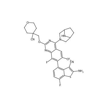 N#Cc1c(N)sc2c(F)ccc(-c3c(C(F)(F)F)cc4c(N5CC6CCC(C5)N6)nc(OCC5(C#N)CCOCC5)nc4c3F)c12